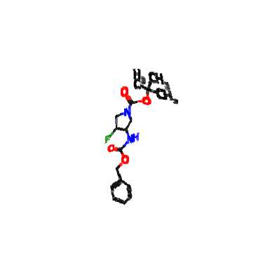 CC(C)(C)OC(=O)N1CC(F)C(NC(=O)OCc2ccccc2)C1